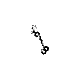 CCOC(=O)C1CCN(CCCCOSc2cccc3c2OCCC3)CC1